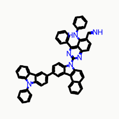 N=Cc1ccc2nc(-n3c4ccc(-c5ccc6c(c5)c5ccccc5n6-c5ccccc5)cc4c4c5ccccc5ccc43)nc(-c3ccccc3)c2c1Nc1ccccc1